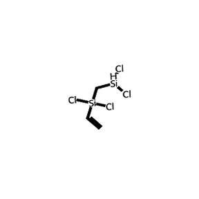 C=C[Si](Cl)(Cl)C[SiH](Cl)Cl